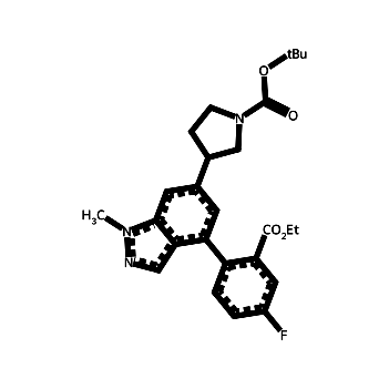 CCOC(=O)c1cc(F)ccc1-c1cc(C2CCN(C(=O)OC(C)(C)C)C2)cc2c1cnn2C